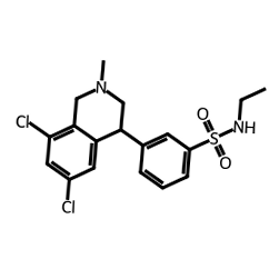 CCNS(=O)(=O)c1cccc(C2CN(C)Cc3c(Cl)cc(Cl)cc32)c1